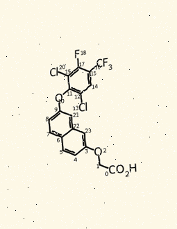 O=C(O)COc1ccc2ccc(Oc3c(Cl)cc(C(F)(F)F)c(F)c3Cl)cc2c1